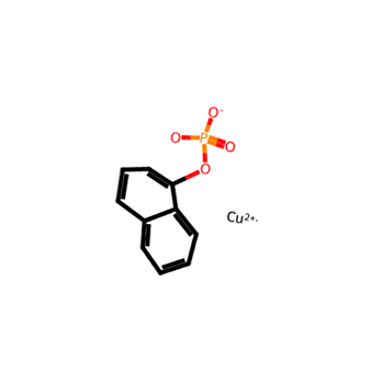 O=P([O-])([O-])Oc1cccc2ccccc12.[Cu+2]